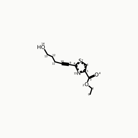 CCOC(=O)c1csc(C#CCCCO)n1